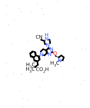 CN1CCC[C@@H]1COc1nc2c(c(N3CCNC(CC#N)C3)n1)CCN(c1cc(CC(C)(C)C(=O)O)cc3ccccc13)C2